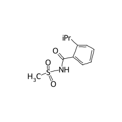 CC(C)c1ccccc1C(=O)NS(C)(=O)=O